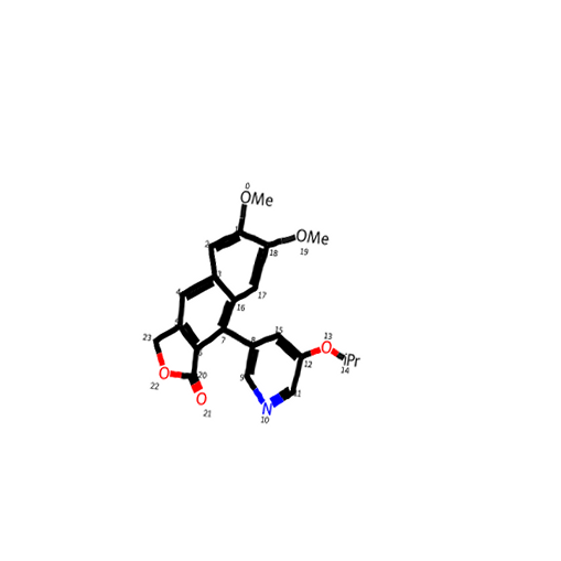 COc1cc2cc3c(c(-c4cncc(OC(C)C)c4)c2cc1OC)C(=O)OC3